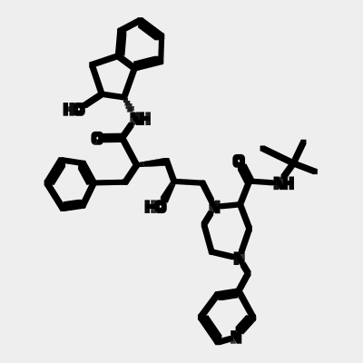 CC(C)(C)NC(=O)C1CN(Cc2cccnc2)CCN1C[C@@H](O)C[C@@H](Cc1ccccc1)C(=O)N[C@H]1c2ccccc2CC1O